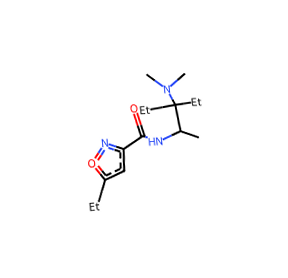 CCc1cc(C(=O)NC(C)C(CC)(CC)N(C)C)no1